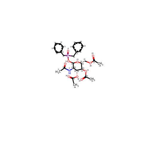 CC(=O)N[C@H]1C(OP(=O)(Cc2ccccc2)Cc2ccccc2)O[C@H](COC(C)=O)[C@@H](OC(C)=O)[C@@H]1OC(C)=O